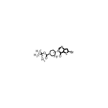 CC(C)(C)OC(=O)N1CC[C@H](n2cnc3cc(Br)sc3c2=O)[C@H](F)C1